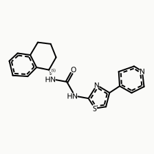 O=C(Nc1nc(-c2ccncc2)cs1)N[C@H]1CCCc2ccccc21